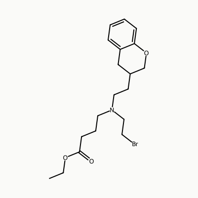 CCOC(=O)CCCN(CCBr)CCC1COc2ccccc2C1